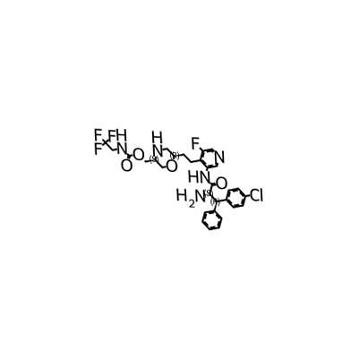 N[C@H](C(=O)Nc1cncc(F)c1CC[C@@H]1CN[C@H](COC(=O)NCC(F)(F)F)CO1)[C@H](c1ccccc1)c1ccc(Cl)cc1